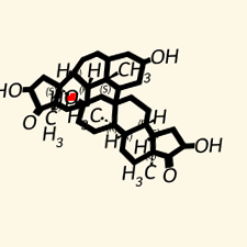 C[C@]12C(CC[C@@H]3[C@H]1CC[C@]1(C)C(=O)C(O)C[C@@H]31)CC(O)CC2C12CC[C@@H]3[C@@H](CC[C@]4(C)C(=O)C(O)C[C@@H]34)[C@@]1(C)CCC(O)C2